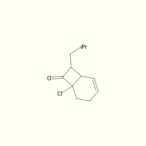 CC(C)CC1C(=O)C2(Cl)CCC=CC12